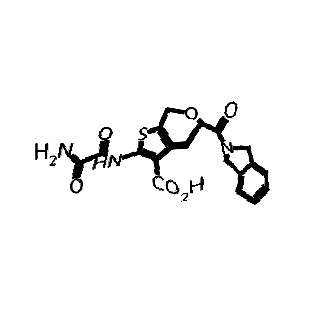 NC(=O)C(=O)Nc1sc2c(c1C(=O)O)CC(C(=O)N1Cc3ccccc3C1)OC2